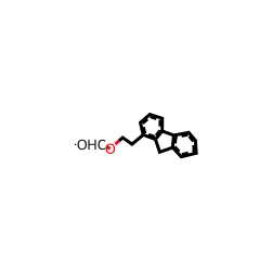 O=[C]OCCc1cccc2c1Cc1ccccc1-2